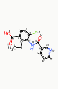 CCc1c(C(=O)O)ccc(F)c1NC(=O)c1cccnc1